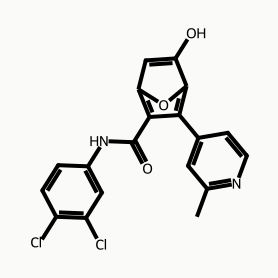 Cc1cc(-c2c(C(=O)Nc3ccc(Cl)c(Cl)c3)c3cc(O)c2o3)ccn1